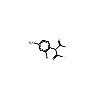 Cc1ccc(C(C(N)=O)C(N)=O)c(Br)c1